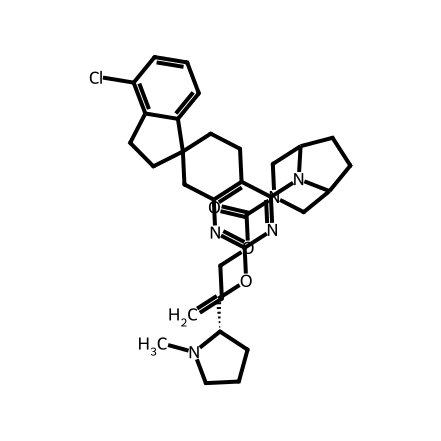 C=CCOC(=O)N1CC2CCC(C1)N2c1nc(OC[C@@H]2CCCN2C)nc2c1CCC1(CCc3c(Cl)cccc31)C2